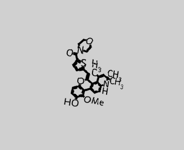 COc1c(O)ccc2c1-c1ccc3c(c1/C(=C/c1ccc(C(=O)N4CCOCC4)s1)O2)C(C)=CC(C)(C)N3